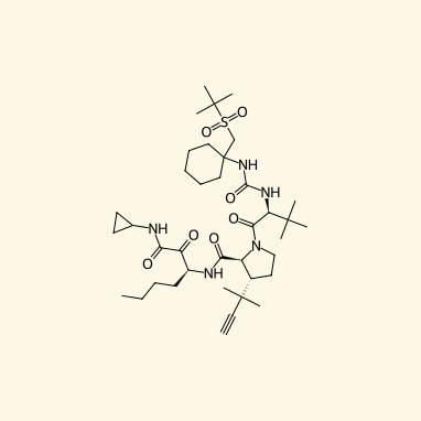 C#CC(C)(C)[C@H]1CCN(C(=O)[C@@H](NC(=O)NC2(CS(=O)(=O)C(C)(C)C)CCCCC2)C(C)(C)C)[C@@H]1C(=O)N[C@@H](CCCC)C(=O)C(=O)NC1CC1